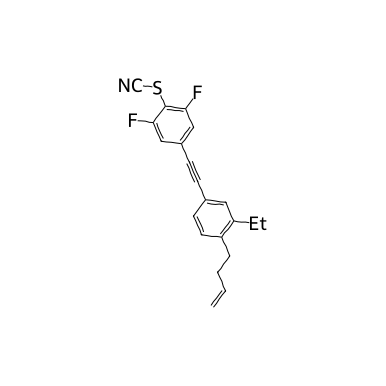 C=CCCc1ccc(C#Cc2cc(F)c(SC#N)c(F)c2)cc1CC